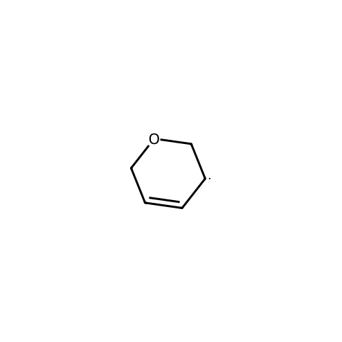 [CH]1C=CCOC1